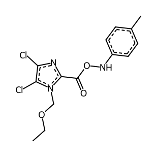 CCOCn1c(C(=O)ONc2ccc(C)cc2)nc(Cl)c1Cl